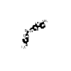 COc1ccn2nc(C(=O)NCc3cnc(-c4ccnc(C)c4)c(C)c3)nc2c1